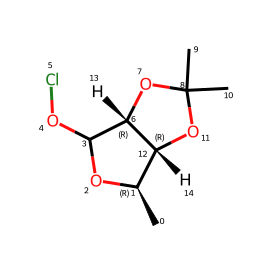 C[C@H]1OC(OCl)[C@@H]2OC(C)(C)O[C@H]12